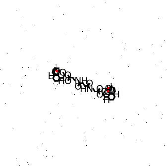 C[C@H]1[C@H](OC(=O)CCNC(=O)CCC(=O)NCCC(=O)O[C@@H]2O[C@@H]3O[C@@]4(C)CC[C@H]5[C@H](C)CC[C@@H]([C@H]2C)[C@@]35OO4)O[C@@H]2O[C@@]3(C)CC[C@H]4[C@H](C)CC[C@@H]1[C@@]24OO3